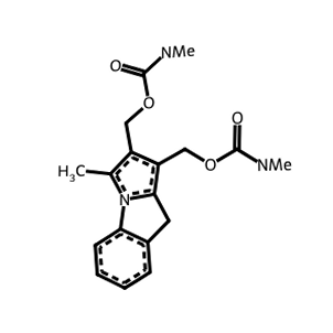 CNC(=O)OCc1c(COC(=O)NC)c2n(c1C)-c1ccccc1C2